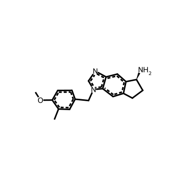 COc1ccc(Cn2cnc3cc4c(cc32)CC[C@@H]4N)cc1C